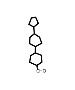 O=CC1CCC(C2CCC(C3CCCC3)CC2)CC1